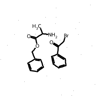 CC(N)C(=O)OCc1ccccc1.O=C(CBr)c1ccccc1